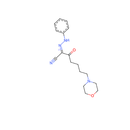 N#C/C(=N/Nc1ccccc1)C(=O)CCCCN1CCOCC1